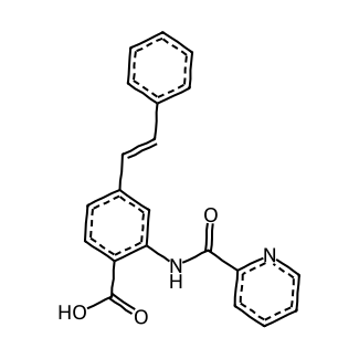 O=C(Nc1cc(C=Cc2ccccc2)ccc1C(=O)O)c1ccccn1